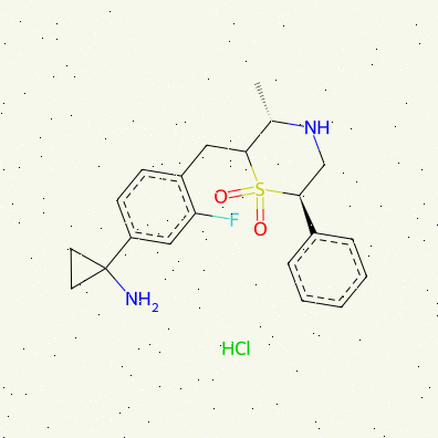 C[C@@H]1NC[C@@H](c2ccccc2)S(=O)(=O)C1Cc1ccc(C2(N)CC2)cc1F.Cl